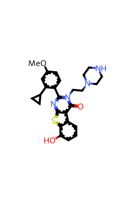 COc1ccc(-c2nc3sc4c(O)cccc4c3c(=O)n2CCN2CCNCC2)c(C2CC2)c1